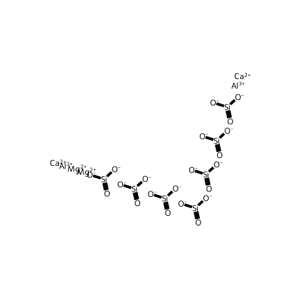 O=[Si]([O-])[O-].O=[Si]([O-])[O-].O=[Si]([O-])[O-].O=[Si]([O-])[O-].O=[Si]([O-])[O-].O=[Si]([O-])[O-].O=[Si]([O-])[O-].[Al+3].[Al+3].[Ca+2].[Ca+2].[Mg+2].[Mg+2]